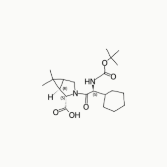 CC(C)(C)OC(=O)N[C@H](C(=O)N1CC2[C@@H]([C@H]1C(=O)O)C2(C)C)C1CCCCC1